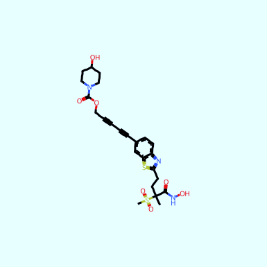 CC(CCc1nc2ccc(C#CC#CCOC(=O)N3CCC(O)CC3)cc2s1)(C(=O)NO)S(C)(=O)=O